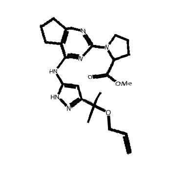 C=CCOC(C)(C)c1cc(Nc2nc(N3CCCC3C(=O)OC)nc3c2CCC3)[nH]n1